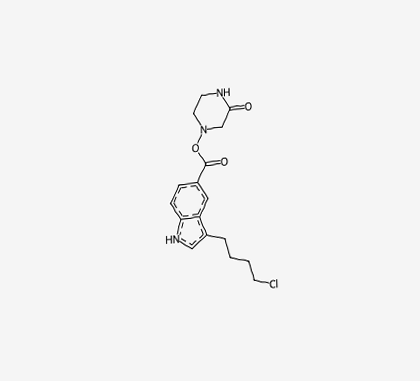 O=C1CN(OC(=O)c2ccc3[nH]cc(CCCCCl)c3c2)CCN1